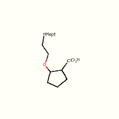 CCCCCCCCCOC1CCCC1C(=O)O